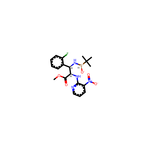 COC(=O)[C@H](Nc1ncccc1[N+](=O)[O-])[C@H](N[S@+]([O-])C(C)(C)C)c1ccccc1F